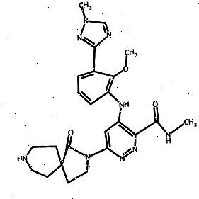 CNC(=O)c1nnc(N2CCC3(CCNCC3)C2=O)cc1Nc1cccc(-c2ncn(C)n2)c1OC